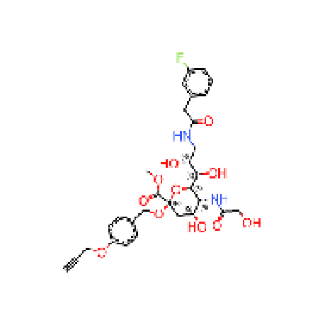 C#CCOc1ccc(CO[C@]2(C(=O)OC)C[C@H](O)[C@@H](NC(=O)CO)[C@H]([C@H](O)[C@H](O)CNC(=O)Cc3cccc(F)c3)O2)cc1